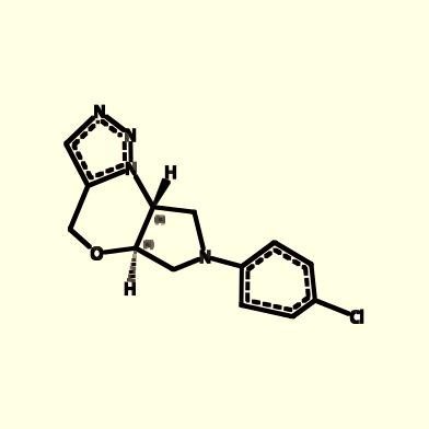 Clc1ccc(N2C[C@@H]3[C@@H](C2)OCc2cnnn23)cc1